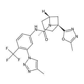 Cc1cn(-c2cc(NC(=O)N3[C@@H]4C[C@@H](C)C[C@@]3(c3nnc(C)o3)C4)ccc2C(F)(F)F)nn1